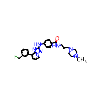 CN1CCN(CCCNC(=O)c2ccc(Nc3nc4c(-c5cccc(CF)c5)cccn4n3)cc2)CC1